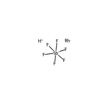 [F][Sb-]([F])([F])([F])([F])[F].[H+].[Rh]